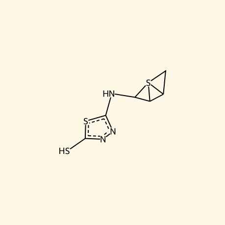 Sc1nnc(NC2C3C4CS423)s1